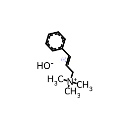 C[N+](C)(C)C/C=C/c1ccccc1.[OH-]